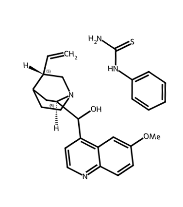 C=C[C@@H]1CN2CCC1C[C@@H]2C(O)c1ccnc2ccc(OC)cc12.NC(=S)Nc1ccccc1